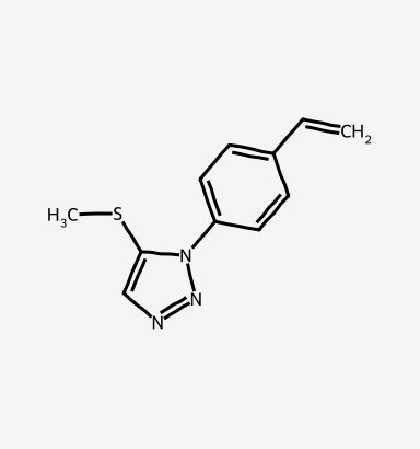 C=Cc1ccc(-n2nncc2SC)cc1